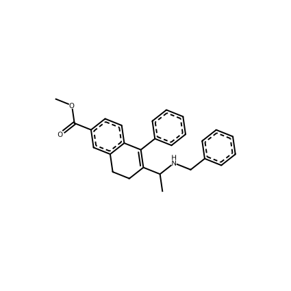 COC(=O)c1ccc2c(c1)CCC(C(C)NCc1ccccc1)=C2c1ccccc1